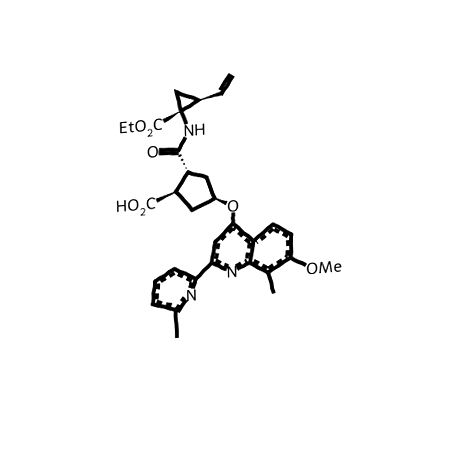 C=C[C@@H]1C[C@]1(NC(=O)[C@@H]1C[C@@H](Oc2cc(-c3cccc(C)n3)nc3c(C)c(OC)ccc23)C[C@H]1C(=O)O)C(=O)OCC